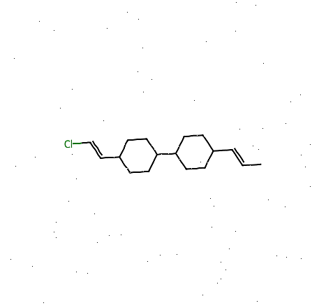 C/C=C/C1CCC(C2CCC(/C=C/Cl)CC2)CC1